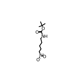 CC(C)(C)OC(=O)NCCCCC[N+](=O)[O-]